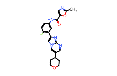 Cc1ncc(C(=O)Nc2ccc(F)c(-c3cn4cc(C5CCOCC5)cnc4n3)c2)o1